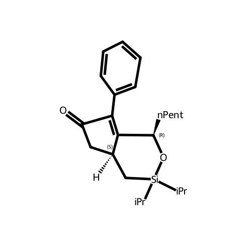 CCCCC[C@H]1O[Si](C(C)C)(C(C)C)C[C@H]2CC(=O)C(c3ccccc3)=C21